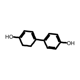 OC1=CC=C(c2ccc(O)cc2)CC1